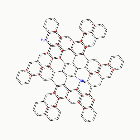 Nc1ccc(-c2c(-c3ccc(-c4ccccc4)cc3-c3cc4cc5ccccc5cc4c4cc5ccccc5cc34)c(-c3ccc(-c4ccccc4)cc3-c3cc4cc5ccccc5cc4c4cc5ccccc5cc34)c(N)c(-c3ccc(-c4ccccc4)cc3-c3cc4cc5ccccc5cc4c4cc5ccccc5cc34)c2-c2ccc(-c3ccccc3)cc2-c2cc3cc4ccccc4cc3c3cc4ccccc4cc23)cc1